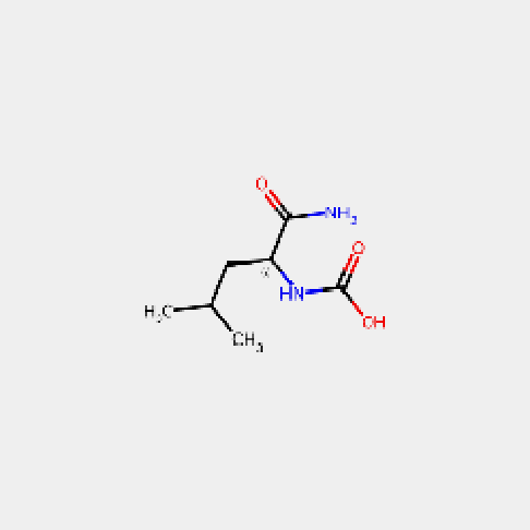 CC(C)C[C@H](NC(=O)O)C(N)=O